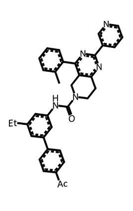 CCc1cc(NC(=O)N2CCc3nc(-c4cccnc4)nc(-c4ccccc4C)c3C2)cc(-c2ccc(C(C)=O)cc2)c1